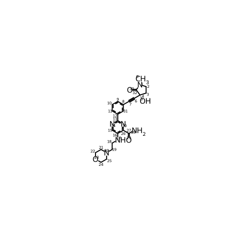 CN1CC[C@@](O)(C#Cc2cccc(-c3ncc(NCCN4CCOCC4)c(C(N)=O)n3)c2)C1=O